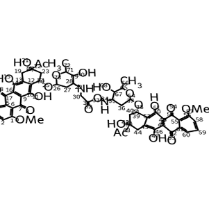 COc1cccc2c1C(=O)c1c(O)c3c(c(O)c1C2=O)C[C@@](O)(C(C)=O)C[C@@H]3OC1CC(NCC(=O)ONC2CC(O[C@H]3C[C@](O)(C(C)=O)Cc4c(O)c5c(c(O)c43)C(=O)c3c(OC)cccc3C5=O)OC(C)C2O)C(O)C(C)O1